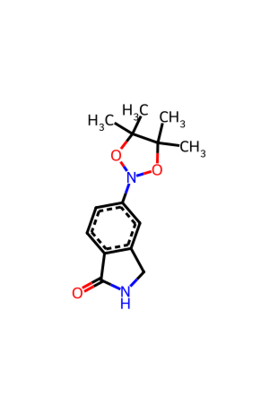 CC1(C)ON(c2ccc3c(c2)CNC3=O)OC1(C)C